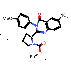 COc1ccc(-n2c(C3CCCN3C(=O)OC(C)(C)C)nc3ccc([N+](=O)[O-])cc3c2=O)cc1